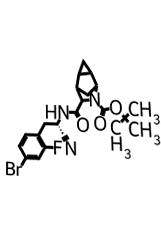 CC(C)(C)OC(=O)N1C2CC(C3CC32)C1C(=O)N[C@H](C#N)Cc1ccc(Br)cc1F